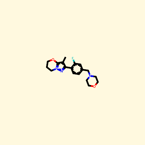 Cc1c(-c2ccc(CN3CCOCC3)cc2F)nn2c1OCCC2